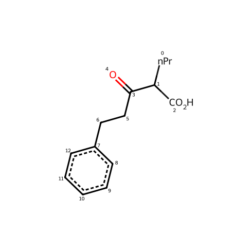 CCCC(C(=O)O)C(=O)CCc1ccccc1